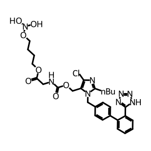 CCCCc1nc(Cl)c(COC(=O)NCC(=O)OCCCCON(O)O)n1Cc1ccc(-c2ccccc2-c2nnn[nH]2)cc1